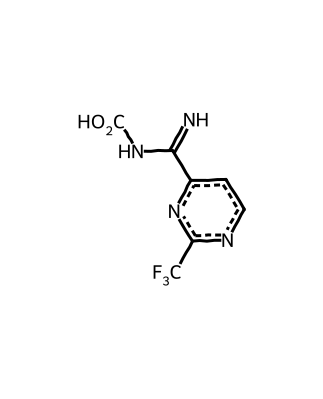 N=C(NC(=O)O)c1ccnc(C(F)(F)F)n1